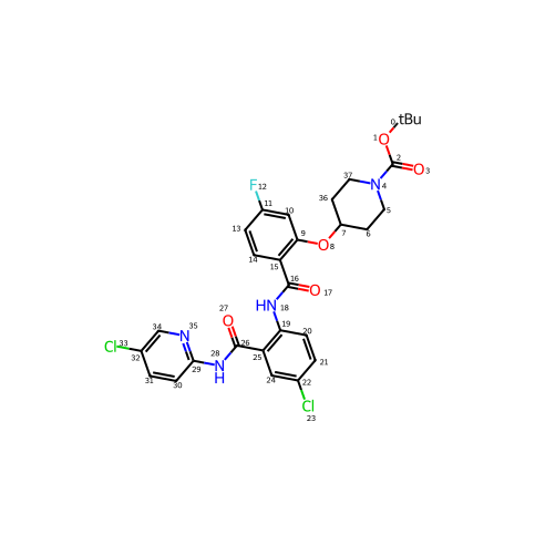 CC(C)(C)OC(=O)N1CCC(Oc2cc(F)ccc2C(=O)Nc2ccc(Cl)cc2C(=O)Nc2ccc(Cl)cn2)CC1